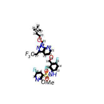 COc1ncc(F)cc1S(=O)(=O)Nc1ccc(F)c(COc2cnc3c(c2)c(CC(F)(F)F)nn3COCC[Si](C)(C)C)c1F